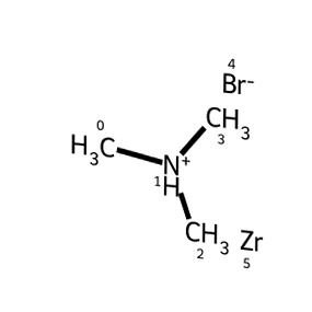 C[NH+](C)C.[Br-].[Zr]